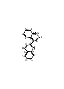 [c]1nnc2ccccc2c1-c1ccc2ccccc2n1